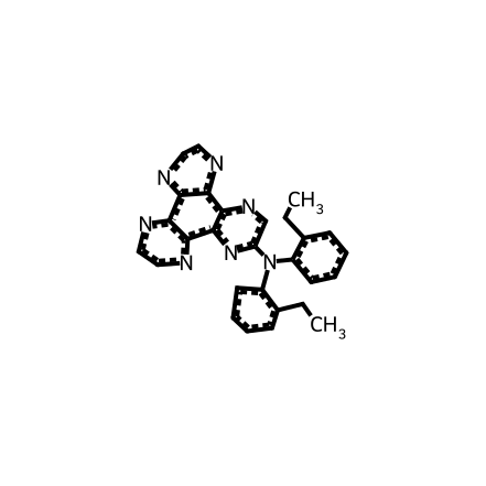 CCc1ccccc1N(c1cnc2c3nccnc3c3nccnc3c2n1)c1ccccc1CC